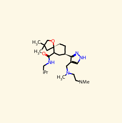 CNCCN(C)Cc1c[nH]nc1[C@@H]1CC[C@@]2(CC(C)(C)CO2)C(C(=O)NCC(C)C)C1